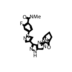 CNC(=O)c1ccc(-n2cc(-c3n[nH]c4cnc(N5C6CCC5C(=O)N(C)C6)nc34)cn2)cc1F